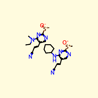 CCN(C)c1nc([S+](C)[O-])ncc1C=CC#N.C[S+]([O-])c1ncc(C=CC#N)c(NC2CCCCC2)n1